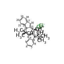 [CH2]=[Zr+2]([C]1=Cc2ccccc2C1[Si](C)(C)C)[C]1=Cc2ccccc2C1[Si](C)(C)C.[Cl-].[Cl-]